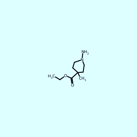 CCOC(=O)C1(C)CCN(N)CC1